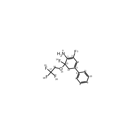 NC1=C(F)C=C(c2ccccc2)CC1(F)OCC(F)(F)F